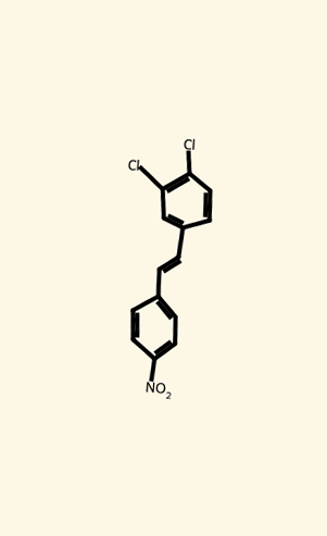 O=[N+]([O-])c1ccc(C=Cc2ccc(Cl)c(Cl)c2)cc1